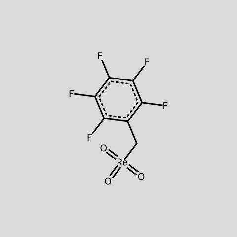 [O]=[Re](=[O])(=[O])[CH2]c1c(F)c(F)c(F)c(F)c1F